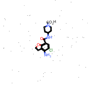 Nc1c(Cl)cc(C(=O)NC2CCN(C(=O)O)CC2)c2c1CCO2